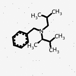 CC(C)CN(Cc1ccccc1)[C@H](C)C(C)C